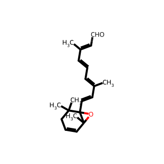 CC(C=CC=C(C)C=CC12OC1(C)C=CCC2(C)C)=CC=O